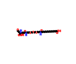 O=[C]CC[C@H](NC(=O)CCC(=O)NCCCOCCOCCOCCCNC(=O)CCCCCCCCCCCCCCC(=O)O)C(=O)O